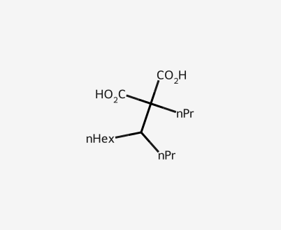 CCCCCCC(CCC)C(CCC)(C(=O)O)C(=O)O